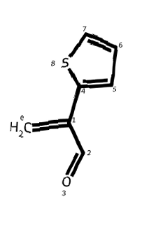 C=C(C=O)c1cccs1